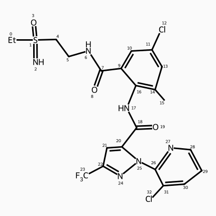 CCS(=N)(=O)CCNC(=O)c1cc(Cl)cc(C)c1NC(=O)c1cc(C(F)(F)F)nn1-c1ncccc1Cl